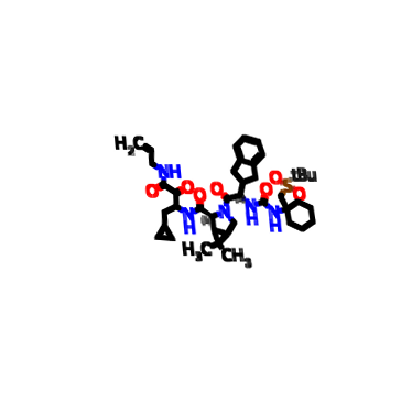 C=CCNC(=O)C(=O)C(CC1CC1)NC(=O)[C@@H]1C2C(CN1C(=O)[C@@H](NC(=O)NC1(CS(=O)(=O)C(C)(C)C)CCCCC1)C1Cc3ccccc3C1)C2(C)C